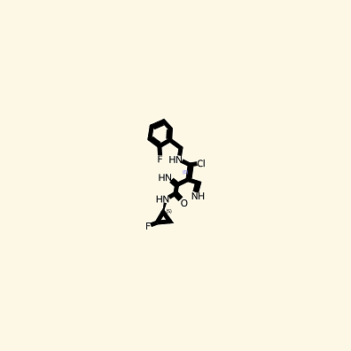 N=C/C(C(=N)C(=O)N[C@H]1CC1F)=C(\Cl)NCc1ccccc1F